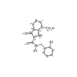 CCc1ccccc1CN(CC)C(=O)n1[nH]c2c(C(=O)O)cccc2c1=O